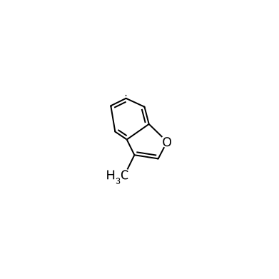 Cc1coc2c[c]ccc12